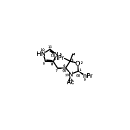 CCC[C@@H]1OC(C)(CCC)[C@H](Cc2c[nH]cn2)N1C(C)=O